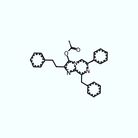 CC(=O)Oc1c(CCc2ccccc2)nc2c(Cc3ccccc3)nc(-c3ccccc3)cn12